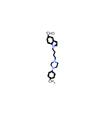 Cc1ccc(N2CCN(CCCCn3ccc4cc(C=O)ccc43)CC2)cc1